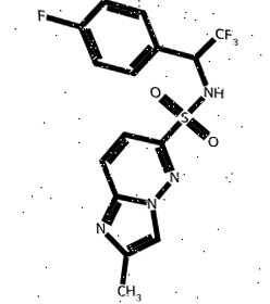 Cc1cn2nc(S(=O)(=O)NC(c3ccc(F)cc3)C(F)(F)F)ccc2n1